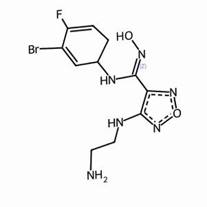 NCCNc1nonc1/C(=N/O)NC1C=C(Br)C(F)=CC1